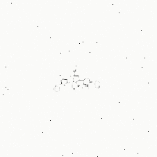 CCOC(=O)c1cc(-c2ccc(N3CCOCC3)cc2)c(C(=N)C(C)C)c(Nc2cccc(N3CCCC3)c2)n1